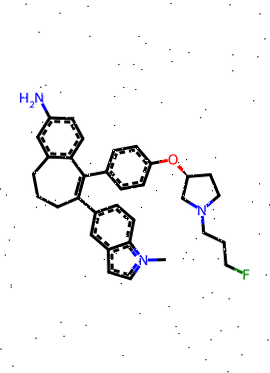 Cn1ccc2cc(C3=C(c4ccc(O[C@H]5CCN(CCCF)C5)cc4)c4ccc(N)cc4CCC3)ccc21